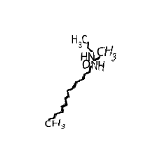 CCCCCCCCCCCCCCCC(=O)NC(CC)NCCCC